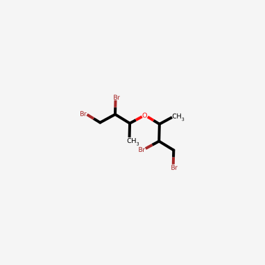 CC(OC(C)C(Br)CBr)C(Br)CBr